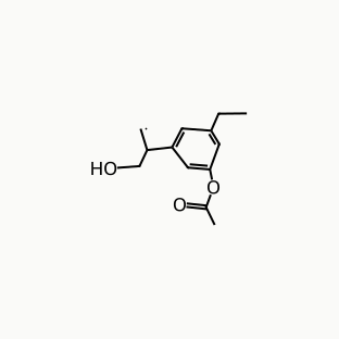 [CH2]C(CO)c1cc(CC)cc(OC(C)=O)c1